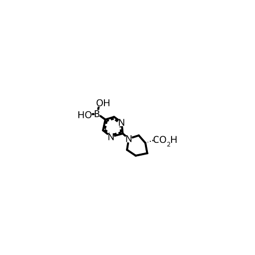 O=C(O)[C@@H]1CCCN(c2ncc(B(O)O)cn2)C1